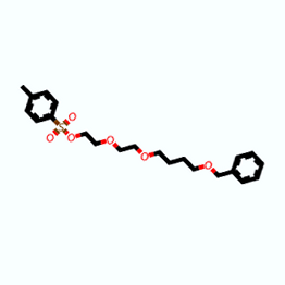 Cc1ccc(S(=O)(=O)OCCOCCOCCCCOCc2ccccc2)cc1